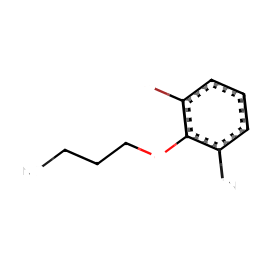 N#CCCCOc1c(Br)cccc1C#N